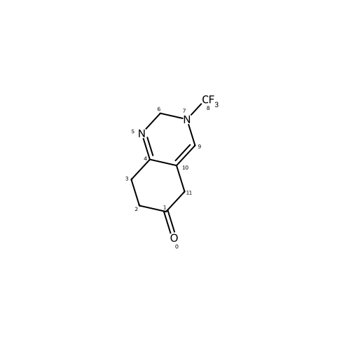 O=C1CCC2=NCN(C(F)(F)F)C=C2C1